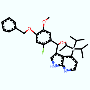 COc1cc(C(O)c2c[nH]c3nccc([Si](C(C)C)(C(C)C)C(C)C)c23)c(F)cc1OCc1ccccc1